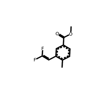 COC(=O)c1ccc(C)c(C=C(F)F)c1